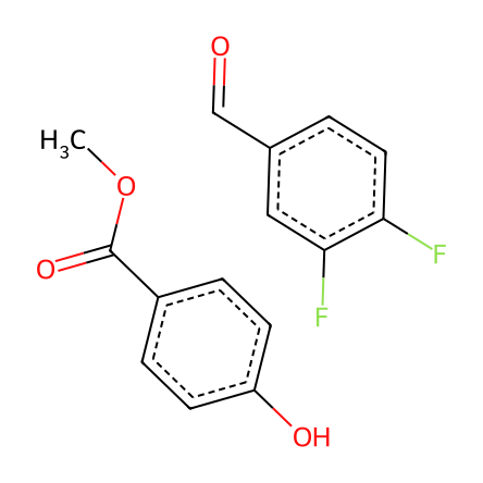 COC(=O)c1ccc(O)cc1.O=Cc1ccc(F)c(F)c1